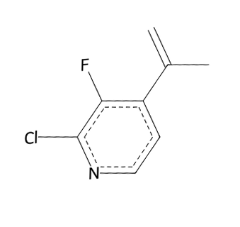 C=C(C)c1ccnc(Cl)c1F